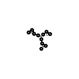 c1ccc(-n2c3ccccc3c3cc(-c4ccc(N(c5ccc(-c6ccc7c(c6)c6cccc8c9ccccc9n7c86)cc5)c5ccc(-c6cccc7c6oc6ccccc67)cc5)cc4)ccc32)cc1